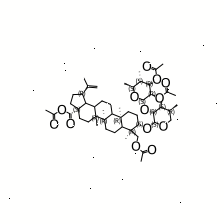 C=C(C)[C@@H]1CC[C@]2(C(=O)OC(C)=O)CC[C@]3(C)C(CCC4[C@@]5(C)CC[C@H](O[C@@H]6OC[C@H](C)[C@H](C)[C@H]6O[C@@H]6O[C@@H](C)[C@H](C)[C@@H](OC(C)=O)[C@H]6OC(C)=O)[C@@](C)(COC(C)=O)C5CC[C@]43C)C12